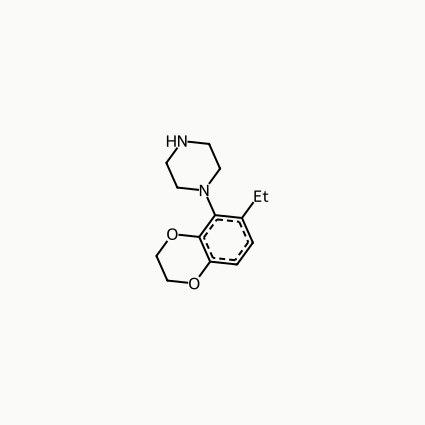 CCc1ccc2c(c1N1CCNCC1)OCCO2